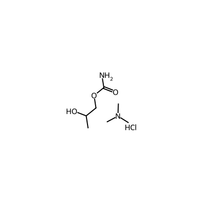 CC(O)COC(N)=O.CN(C)C.Cl